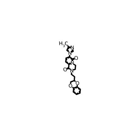 Cc1cn(-c2ccc3n(c2=O)CCN(CCC2COc4ccccc4O2)C3=O)cn1